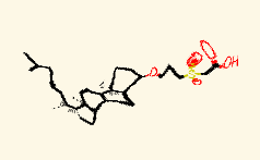 CC(C)CCC[C@@H](C)[C@H]1CCC2C3CC=C4CC(OCCCS(=O)(=O)CC(=O)O)CC[C@]4(C)C3CC[C@@]21C